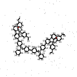 C=Cc1ccc(CC2(c3ccc(C=C)cc3)c3ccccc3-c3ccc(-c4ccc(N(c5ccccc5)c5ccc(-c6ccc(N(c7ccccc7)c7ccc(-c8ccc9c(c8)C(Cc8ccc(C=C)cc8)(c8ccc(C=C)cc8)c8ccccc8-9)cc7)cc6)cc5)cc4)cc32)cc1